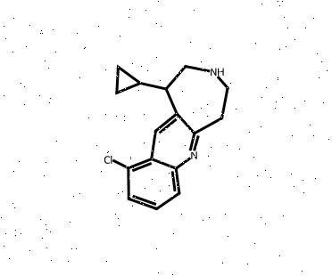 Clc1cccc2nc3c(cc12)C(C1CC1)CNCC3